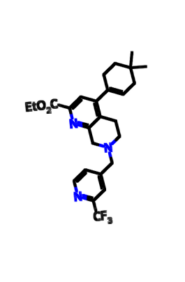 CCOC(=O)c1cc(C2=CCC(C)(C)CC2)c2c(n1)CN(Cc1ccnc(C(F)(F)F)c1)CC2